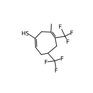 C/C1=C(\C(F)(F)F)CC(C(F)(F)F)C/C=C(/S)C1